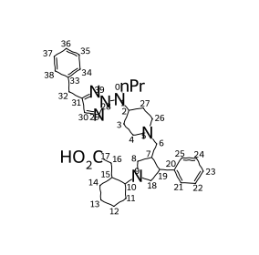 CCCN(C1CCN(CC2CN(C3CCCCC3CC(=O)O)CC2c2ccccc2)CC1)n1ncc(Cc2ccccc2)n1